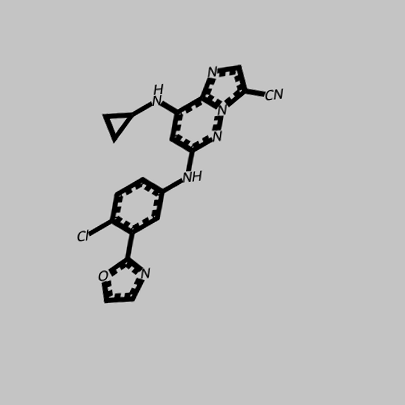 N#Cc1cnc2c(NC3CC3)cc(Nc3ccc(Cl)c(-c4ncco4)c3)nn12